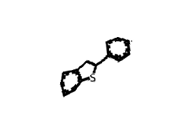 [c]1ccc(C2Cc3ccccc3S2)cc1